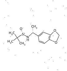 C[C@@H](N[S@@+]([O-])C(C)(C)C)c1ccc2c(c1)OCO2